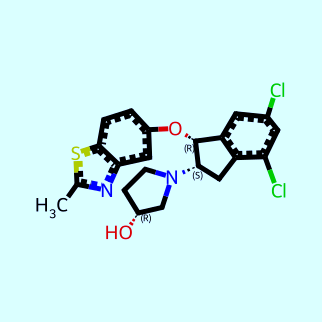 Cc1nc2cc(O[C@@H]3c4cc(Cl)cc(Cl)c4C[C@@H]3N3CC[C@@H](O)C3)ccc2s1